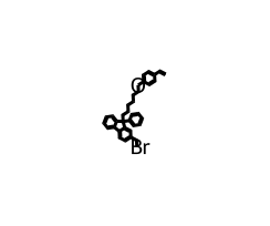 C=Cc1ccc(OCCCCCCC2(c3ccccc3)c3ccccc3-c3ccc(CBr)cc32)cc1